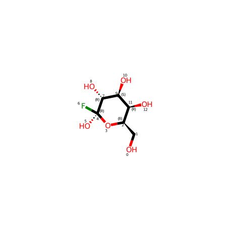 OC[C@H]1O[C@@](O)(F)[C@H](O)[C@@H](O)[C@H]1O